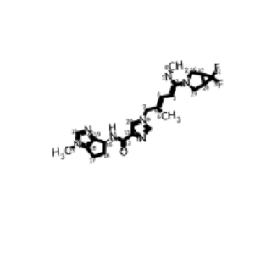 C=N/C(=C\C=C(/C)Cn1cnc(C(=O)N[C@@H]2CCc3c2ncn3C)c1)N1CC2C(C1)C2(F)F